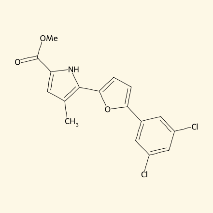 COC(=O)c1cc(C)c(-c2ccc(-c3cc(Cl)cc(Cl)c3)o2)[nH]1